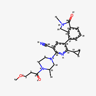 COCCC(=O)N1CCN(c2nc(C3CC3)c(-c3cccc4c3CN(C)C4=O)cc2C#N)CC1C